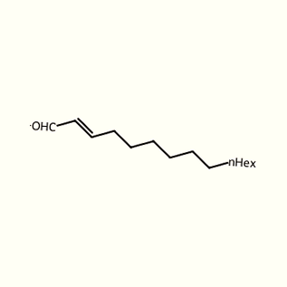 CCCCCCCCCCCCC=C[C]=O